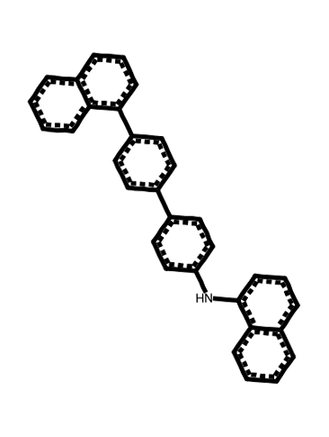 c1ccc2c(Nc3ccc(-c4ccc(-c5cccc6ccccc56)cc4)cc3)cccc2c1